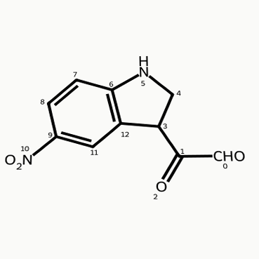 O=CC(=O)C1CNc2ccc([N+](=O)[O-])cc21